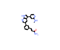 CNc1cc(-c2c[nH]c3ncc(-c4cccc(/C=C/C(N)=O)c4)cc23)ccn1